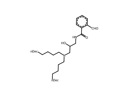 CCCCCCCCCCCCCCN(CCCCCCCCCCCCCC)CC(O)CNC(=O)c1ccccc1C=O